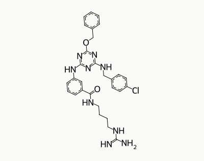 N=C(N)NCCCCNC(=O)c1cccc(Nc2nc(NCc3ccc(Cl)cc3)nc(OCc3ccccc3)n2)c1